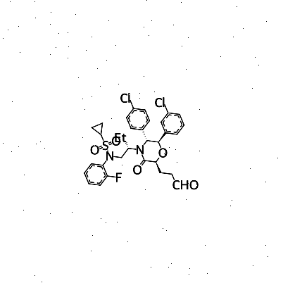 CC[C@@H](CN(c1ccccc1F)S(=O)(=O)C1CC1)N1C(=O)[C@H](CCC=O)O[C@H](c2cccc(Cl)c2)[C@H]1c1ccc(Cl)cc1